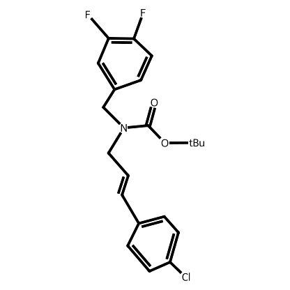 CC(C)(C)OC(=O)N(CC=Cc1ccc(Cl)cc1)Cc1ccc(F)c(F)c1